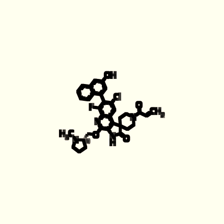 C=CC(=O)N1CCC2(CC1)C(=O)Nc1c(OC[C@@H]3CCCN3C)nc3c(F)c(-c4cc(O)cc5ccccc45)c(Cl)cc3c12